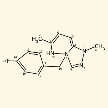 CC1=CC=C2N(C)N=C[N+]2(Cc2ccc(F)cc2)N1